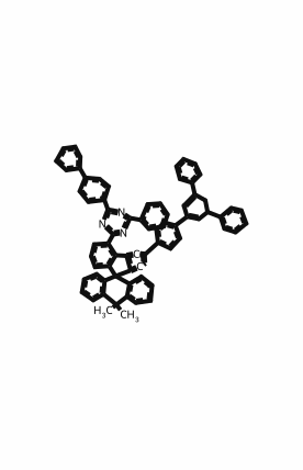 CC1(C)c2ccccc2C2(c3ccc(-c4ccc(C5=CC(c6ccccc6)CC(c6ccccc6)=C5)cc4)cc3-c3c(-c4nc(-c5ccccc5)nc(-c5ccc(-c6ccccc6)cc5)n4)cccc32)c2ccccc21